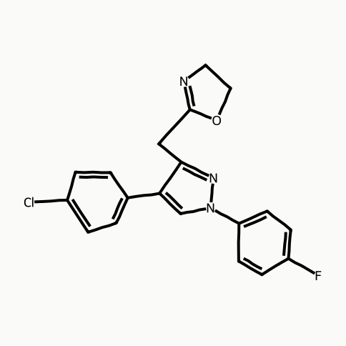 Fc1ccc(-n2cc(-c3ccc(Cl)cc3)c(CC3=NCCO3)n2)cc1